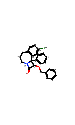 O=C1C(OCc2ccccc2)C2(c3ccccc3)c3cc(Cl)ccc3CCCN12